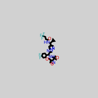 CC1(c2nocc2C(=O)N[C@H](c2cn3ncc([C@H](NC(=O)CCC(F)(F)F)C4CC4)cc3n2)C2CCC(F)(F)CC2)COC1